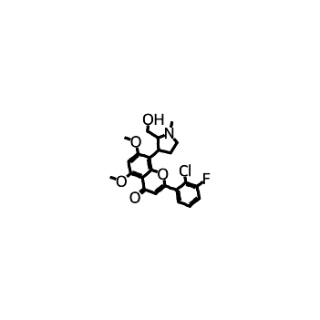 COc1cc(OC)c2c(=O)cc(-c3cccc(F)c3Cl)oc2c1C1CCN(C)C1CO